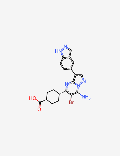 Nc1c(Br)c([C@H]2CC[C@H](C(=O)O)CC2)nc2c(-c3ccc4[nH]ncc4c3)cnn12